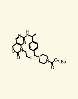 CC(Nc1ncc2c(n1)N(CCF)C(=O)OC2)c1ccc(CN2CCN(C(=O)OC(C)(C)C)CC2)cc1